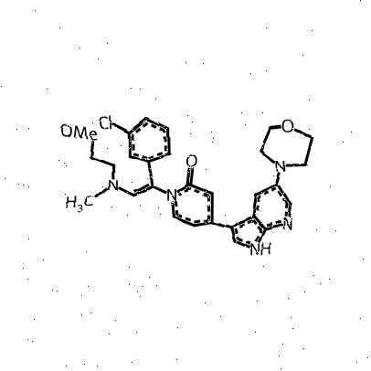 COCCN(C)/C=C(\c1cccc(Cl)c1)n1ccc(-c2c[nH]c3ncc(N4CCOCC4)cc23)cc1=O